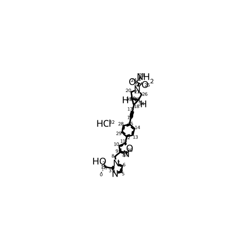 C[C@H](O)c1nccn1Cc1cc(-c2ccc(C#CC3[C@H]4CN(S(N)(=O)=O)C[C@@H]34)cc2)on1.Cl